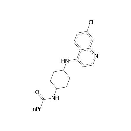 CCCC(=O)NC1CCC(Nc2ccnc3cc(Cl)ccc23)CC1